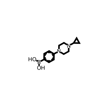 OB(O)c1ccc(N2CCN(C3CC3)CC2)cc1